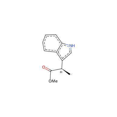 [CH2][C@@H](C(=O)OC)c1c[nH]c2ccccc12